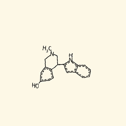 CN1Cc2cc(O)ccc2C(c2cc3ccccc3[nH]2)C1